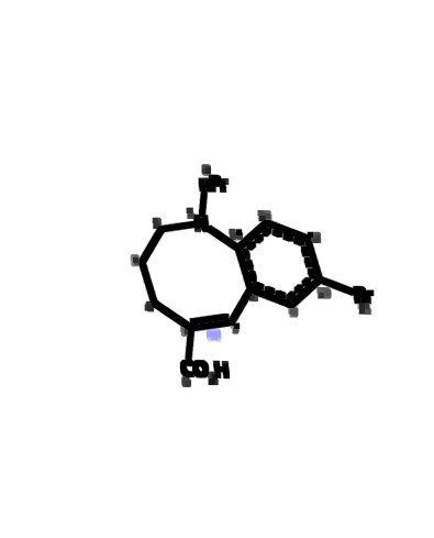 CCCN1CCC/C(C(=O)O)=C\c2cc(Br)ccc21